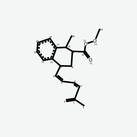 C=C(C)/C=C\C=C/C1CC(C(=O)OOC)C(C)c2ccccc21